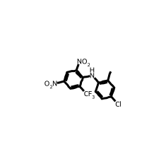 Cc1cc(Cl)ccc1Nc1c([N+](=O)[O-])cc([N+](=O)[O-])cc1C(F)(F)F